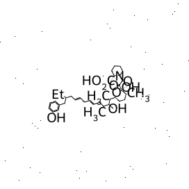 CC[C@@H](C/C=C/C/C=C/C[C@@H](C)[C@H](O)[C@@H](C)[C@@H]1CC[C@@H](C)[C@](O)(C(=O)C(=O)N2CCCC[C@H]2C(=O)O)O1)Cc1cccc(O)c1